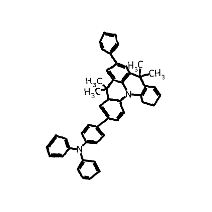 CC1(C)C2=C(CCC=C2)N2c3c1cc(-c1ccccc1)cc3C(C)(C)C1C=C(c3ccc(N(c4ccccc4)c4ccccc4)cc3)C=CC12